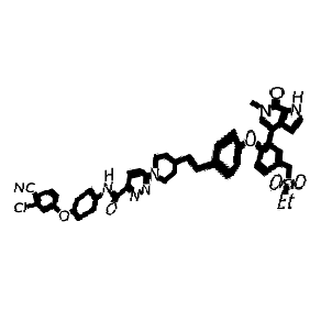 CCS(=O)(=O)Cc1ccc(Oc2ccc(CCC3CCN(c4ccc(C(=O)NC5CCC(Oc6ccc(C#N)c(Cl)c6)CC5)nn4)CC3)cc2)c(-c2cn(C)c(=O)c3[nH]ccc23)c1